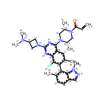 C=CC(=O)N1C[C@H](C)N(c2nc(N3CC(N(C)C)C3)nc3c(F)c(-c4c(C)ccc5cnn(C)c45)c(C)cc23)C[C@@H]1C